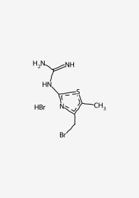 Br.Cc1sc(NC(=N)N)nc1CBr